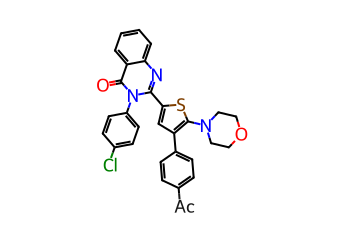 CC(=O)c1ccc(-c2cc(-c3nc4ccccc4c(=O)n3-c3ccc(Cl)cc3)sc2N2CCOCC2)cc1